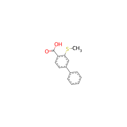 CSc1cc(-c2ccccc2)ccc1C(=O)O